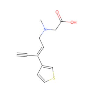 C#CC(=CCN(C)CC(=O)O)c1ccsc1